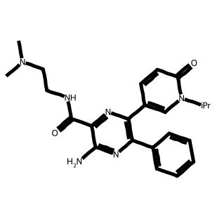 CC(C)n1cc(-c2nc(C(=O)NCCN(C)C)c(N)nc2-c2ccccc2)ccc1=O